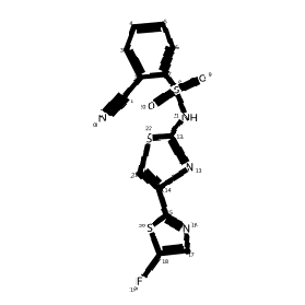 N#Cc1ccccc1S(=O)(=O)Nc1nc(-c2ncc(F)s2)cs1